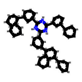 c1ccc(-c2cccc(-c3nc(-c4cccc(-c5cccc6ccccc56)c4)nc(-c4cccc(-c5ccc(-c6ccccc6)c6ccccc56)c4)n3)c2)cc1